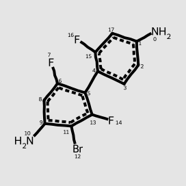 Nc1ccc(-c2c(F)cc(N)c(Br)c2F)c(F)c1